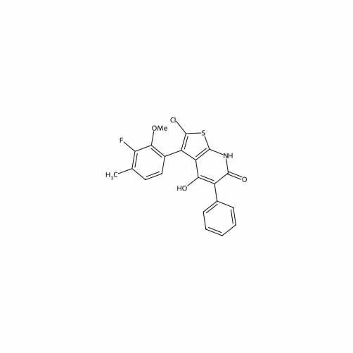 COc1c(-c2c(Cl)sc3[nH]c(=O)c(-c4ccccc4)c(O)c23)ccc(C)c1F